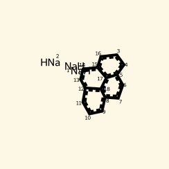 [NaH].[NaH].[NaH].c1cc2ccc3cccc4ccc(c1)c2c34